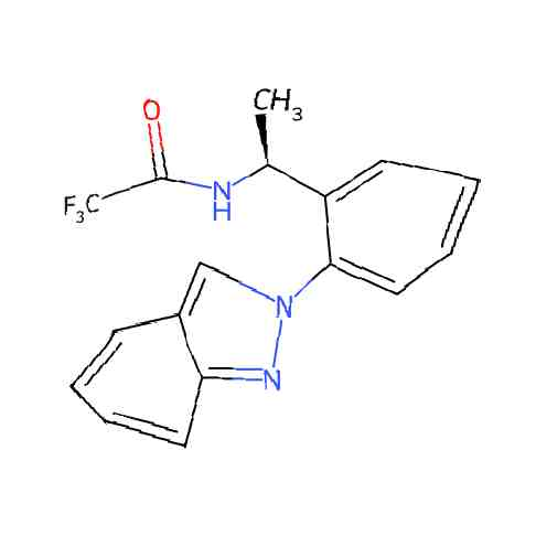 C[C@H](NC(=O)C(F)(F)F)c1ccccc1-n1cc2ccccc2n1